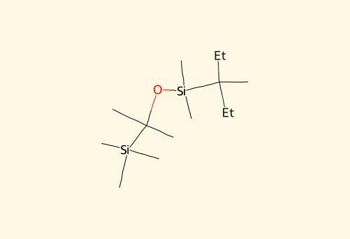 CCC(C)(CC)[Si](C)(C)OC(C)(C)[Si](C)(C)C